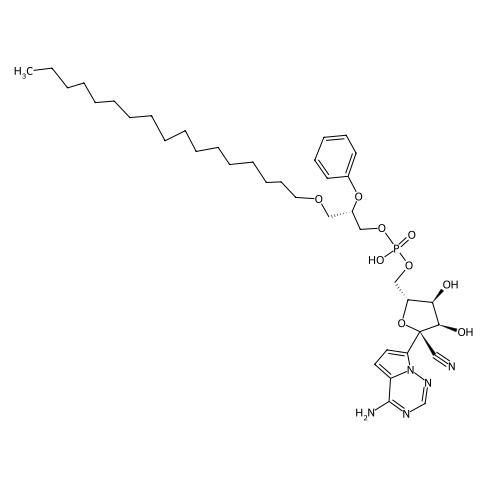 CCCCCCCCCCCCCCCCCOC[C@@H](COP(=O)(O)OC[C@H]1O[C@@](C#N)(c2ccc3c(N)ncnn23)[C@H](O)[C@@H]1O)Oc1ccccc1